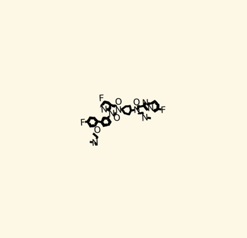 CN(C)CCOc1cc(F)ccc1-c1cccc(-n2c(=O)n(C3CCC(N(CCN(C)C)C(=O)c4cn5cc(F)ccc5n4)CC3)c(=O)c3cc(F)cnc32)c1